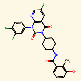 Cc1c(O)cccc1C(=O)NC1CCC(n2c(=O)c3cc(F)cnc3n(-c3ccc(F)c(F)c3)c2=O)CC1